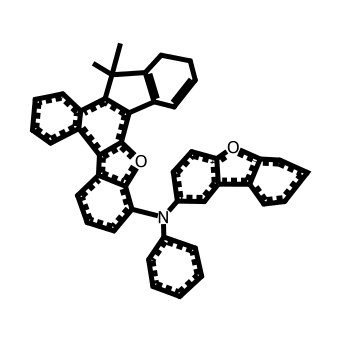 CC1(C)C2=C(C=CCC2)c2c1c1ccccc1c1c2oc2c(N(c3ccccc3)c3ccc4oc5ccccc5c4c3)cccc21